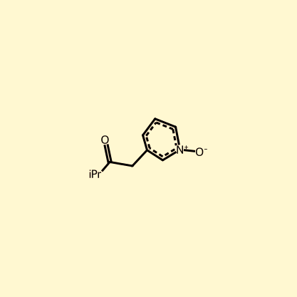 CC(C)C(=O)Cc1ccc[n+]([O-])c1